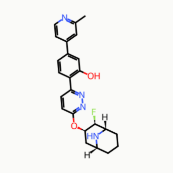 Cc1cc(-c2ccc(-c3ccc(O[C@@H]4C[C@H]5CCC[C@H](N5)[C@@H]4F)nn3)c(O)c2)ccn1